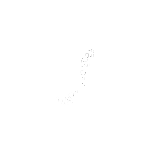 CN1CCC[C@@H]1c1cc2cnc(NC(=O)c3ccc(N4CCN(CC5CCN(c6ccc7c(c6)n(C)c(=O)n7C6CCC(=O)NC6=O)CC5)CC4)cc3)cc2[nH]1